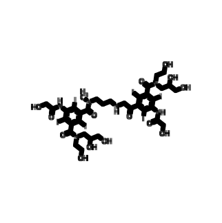 CN(CCCNCC(=O)c1c(I)c(NC(=O)CO)c(I)c(C(=O)N(CCO)CC(O)CO)c1I)C(=O)c1c(I)c(NC(=O)CO)c(I)c(C(=O)N(CCO)CC(O)CO)c1I